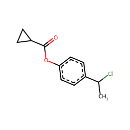 CC(Cl)c1ccc(OC(=O)C2CC2)cc1